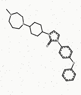 CN1CCCN(C2CCC(n3ccn(-c4ccc(Oc5ccccc5)cc4)c3=O)CC2)CC1